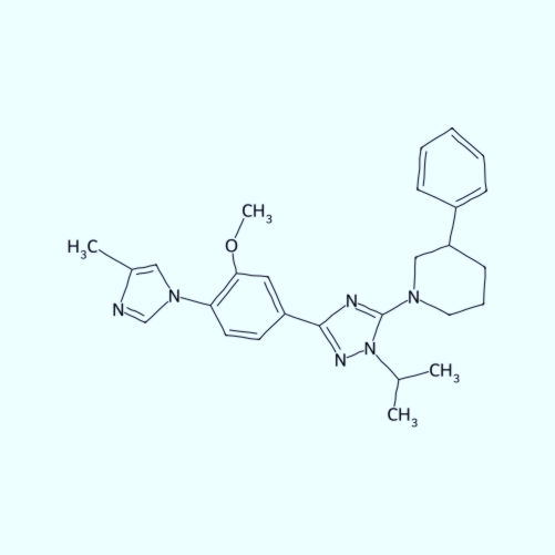 COc1cc(-c2nc(N3CCCC(c4ccccc4)C3)n(C(C)C)n2)ccc1-n1cnc(C)c1